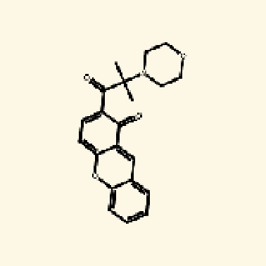 CC(C)(C(=O)c1ccc2oc3ccccc3cc-2c1=O)N1CCOCC1